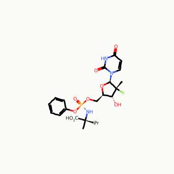 CC(C)[C@](C)(N[P@](=O)(OC[C@H]1O[C@@H](n2ccc(=O)[nH]c2=O)[C@](C)(F)[C@@H]1O)Oc1ccccc1)C(=O)O